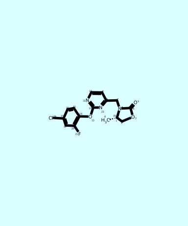 C[C@H]1COC(=O)N1Cc1ccnc(Oc2ccc(Cl)cc2F)n1